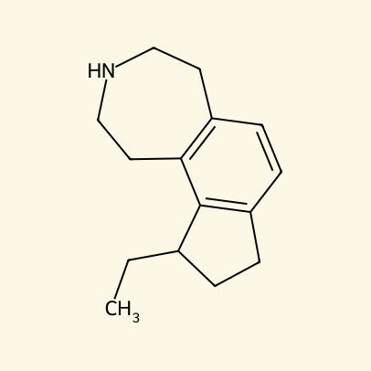 CCC1CCc2ccc3c(c21)CCNCC3